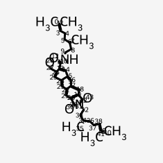 CC(C)=CCCC(C)CCNC(=O)c1cc2cc3cc4c(cc3cc2cc1C=O)C(=O)N(CCC(C)CCC=C(C)C)C4=O